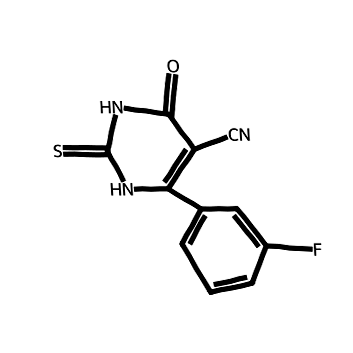 N#Cc1c(-c2cccc(F)c2)[nH]c(=S)[nH]c1=O